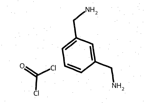 NCc1cccc(CN)c1.O=C(Cl)Cl